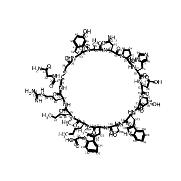 CCCC[C@H]1C(=O)N(C)[C@@H](CCCC)C(=O)N[C@@H](CCCNC(=N)N)C(=O)N[C@H](C(=O)NCC(N)=O)CSCC(=O)N[C@@H](Cc2ccc(O)cc2)C(=O)N(C)[C@@H](C)C(=O)N[C@@H](CC(N)=O)C(=O)N2CCC[C@H]2C(=O)N[C@@H](Cc2cnc[nH]2)C(=O)N[C@@H](CC(=O)O)C(=O)N2C[C@H](O)C[C@H]2C(=O)N[C@@H](Cc2c[nH]c3ccccc23)C(=O)N[C@@H](CO)C(=O)NC(Cc2cn(CC(=O)O)c3ccccc23)C(=O)N1C